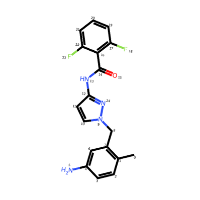 Cc1ccc(N)cc1Cn1ccc(NC(=O)c2c(F)cccc2F)n1